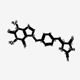 Cn1c(=O)c2c(ncn2Cc2ccc(/C=C3\NC(=S)NC3=O)cc2)n(C)c1=O